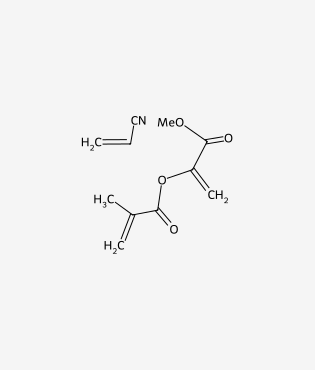 C=C(C)C(=O)OC(=C)C(=O)OC.C=CC#N